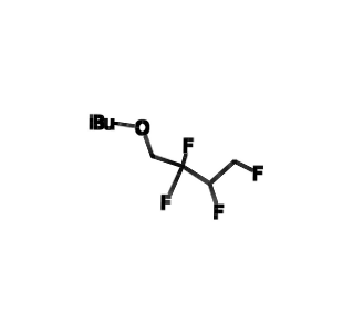 CCC(C)OCC(F)(F)C(F)CF